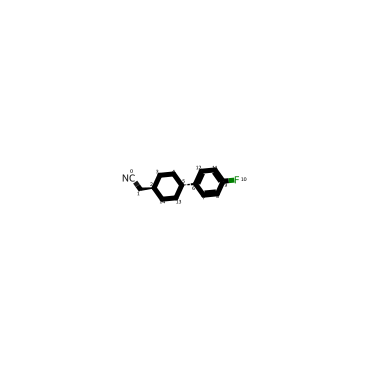 N#CC[C@H]1CC[C@H](c2ccc(F)cc2)CC1